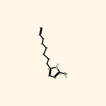 C=CCCCCCCc1ccc(Br)s1